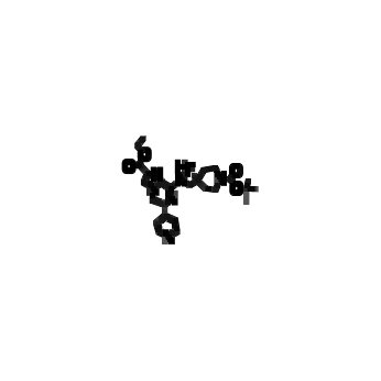 CCOC(=O)c1cn2cc(-c3ccncc3)nc(NCC3(F)CCN(C(=O)OC(C)(C)C)CC3)c2n1